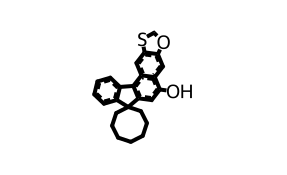 Oc1cc2c(c3cc4c(cc13)OCS4)-c1ccccc1C21CCCCCCC1